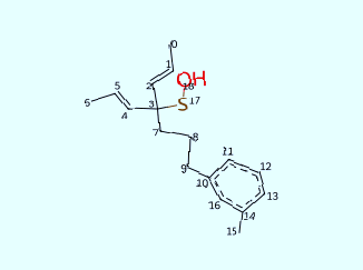 CC=CC(C=CC)(CCCc1cccc(C)c1)SO